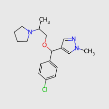 CC(COC(c1ccc(Cl)cc1)c1cnn(C)c1)N1CCCC1